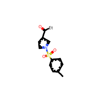 CCC(=O)c1ccn(S(=O)(=O)c2ccc(C)cc2)c1